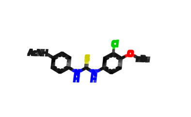 CCCCOc1ccc(NC(=S)Nc2ccc(NC(C)=O)cc2)cc1Cl